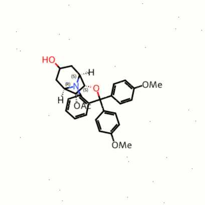 COc1ccc(C(O[C@@H]2[C@H](OC(C)=O)[C@H]3CC(O)C[C@@H]2N3C)(c2ccccc2)c2ccc(OC)cc2)cc1